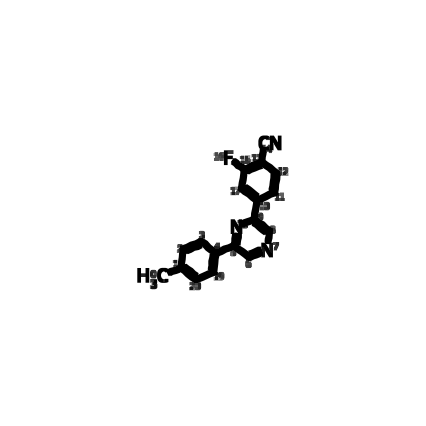 Cc1ccc(-c2cncc(-c3ccc(C#N)c(F)c3)n2)cc1